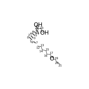 C=C.C=C.C=C.C=C.C=C.C=C.CCCCCCOCCC.OCCO